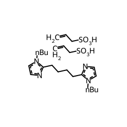 C=CCS(=O)(=O)O.C=CCS(=O)(=O)O.CCCCn1ccnc1CCCCc1nccn1CCCC